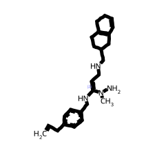 C=CCc1ccc(CN/C(=C/CNCC2CCC3=C(C=CCC3)C2)N(C)N)cc1